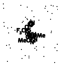 COc1ncnc(OC)c1C(=O)Nc1nc(C(F)(F)F)c(Oc2ccncc2)s1